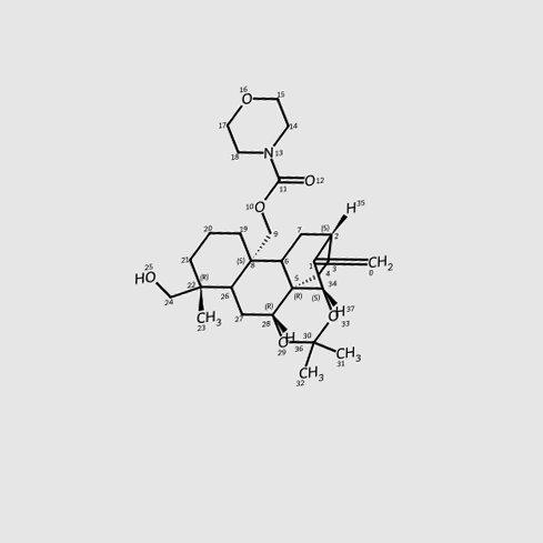 C=C1[C@H]2CC[C@@]34C(C2)[C@]2(COC(=O)N5CCOCC5)CCC[C@@](C)(CO)C2C[C@H]3OC(C)(C)O[C@@H]14